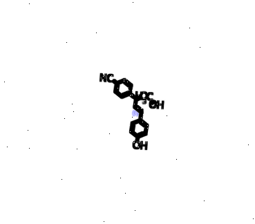 CO.N#Cc1ccc(C(=O)/C=C/c2ccc(O)cc2)cc1